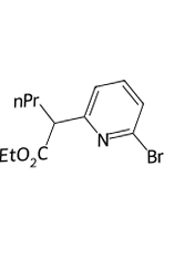 CCCC(C(=O)OCC)c1cccc(Br)n1